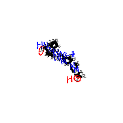 CC(C)(O)CN1CCN(c2ccc(Nc3ncc4cc5n(c4n3)C3(CCCC3)CNC5=O)nc2)CC1